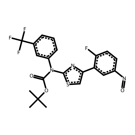 CC(C)(C)OC(=O)N(c1cccc(C(F)(F)F)c1)c1nc(-c2cc(N=O)ccc2F)cs1